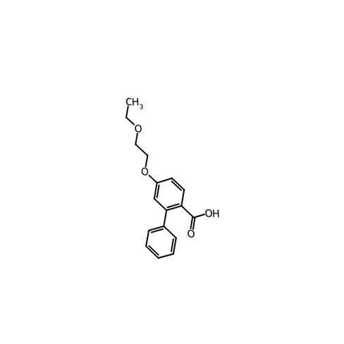 CCOCCOc1ccc(C(=O)O)c(-c2ccccc2)c1